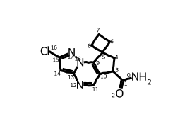 NC(=O)C1CC2(CCC2)c2c1cnc1cc(Cl)nn21